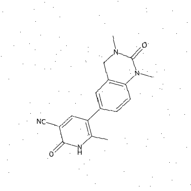 Cc1[nH]c(=O)c(C#N)cc1-c1ccc2c(c1)CN(C)C(=O)N2C